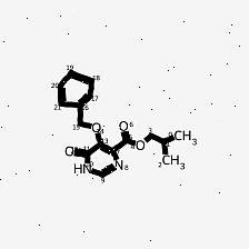 CC(C)COC(=O)c1nc[nH]c(=O)c1OCc1ccccc1